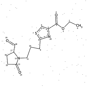 CCOC(=O)c1csc(CCCN2C(=O)CCC2C=O)n1